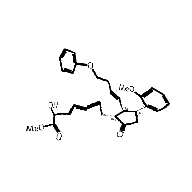 COC(=O)C(O)CC=C=CC[C@H]1C(=O)C[C@@H](c2ccccc2OC)[C@@H]1/C=C/CCOc1ccccc1